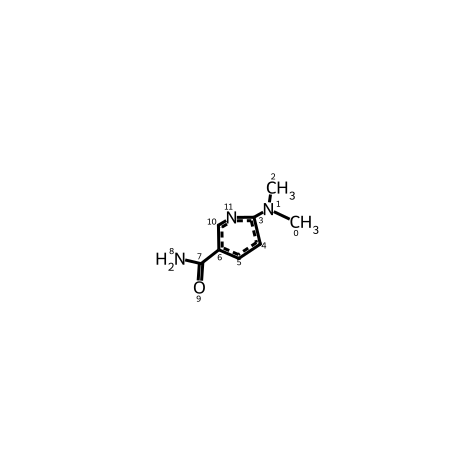 CN(C)c1ccc(C(N)=O)cn1